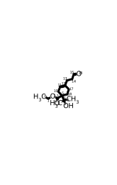 CCOC(=O)C1(C(C)(C)O)CC=C(CCC=O)CC1